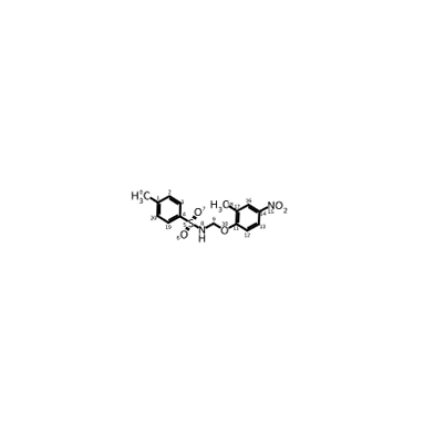 Cc1ccc(S(=O)(=O)NCOc2ccc([N+](=O)[O-])cc2C)cc1